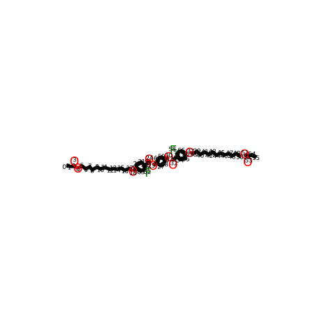 C=CC(=O)OCCCCCCCCCCCCCOc1ccc(C(=O)Oc2ccc(OC(=O)c3ccc(OCCCCCCCCCCCCCOC(=O)C=C)cc3F)cc2)c(F)c1